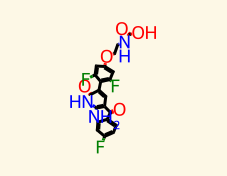 Nc1[nH]c(=O)c(-c2c(F)cc(OCCNC(=O)O)cc2F)cc1C(=O)c1ccc(F)cc1